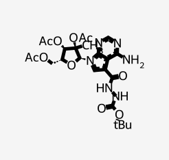 CC(=O)OC[C@H]1O[C@@H](n2cc(C(=O)NNC(=O)OC(C)(C)C)c3c(N)ncnc32)[C@](C)(OC(C)=O)[C@@H]1OC(C)=O